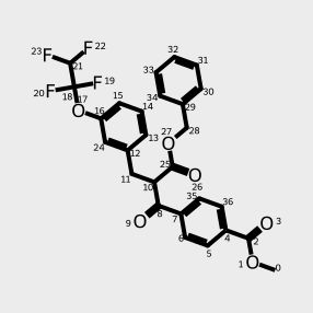 COC(=O)c1ccc(C(=O)C(Cc2cccc(OC(F)(F)C(F)F)c2)C(=O)OCc2ccccc2)cc1